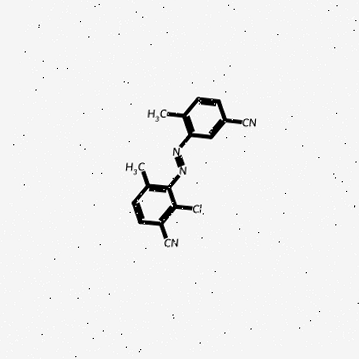 Cc1ccc(C#N)cc1N=Nc1c(C)ccc(C#N)c1Cl